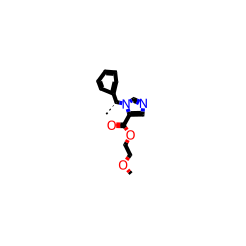 COCCOC(=O)c1cncn1[C@H](C)c1ccccc1